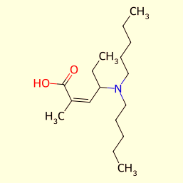 CCCCCN(CCCCC)C(C=C(C)C(=O)O)CC